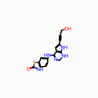 O=c1[nH]c2ccc(NC3=NCNc4[nH]c(C#CCO)cc43)cc2s1